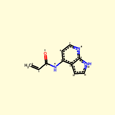 C=CC(=O)Nc1ccnc2[nH]ccc12